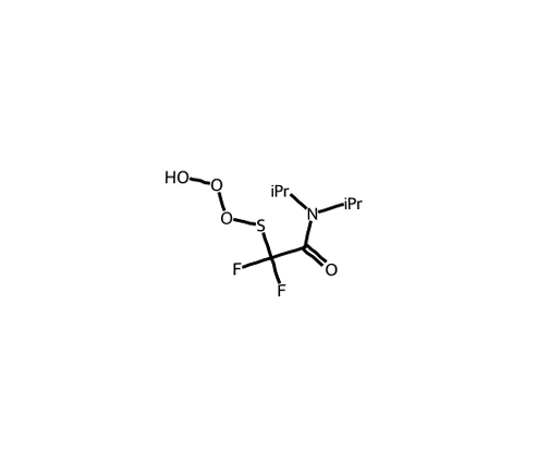 CC(C)N(C(=O)C(F)(F)SOOO)C(C)C